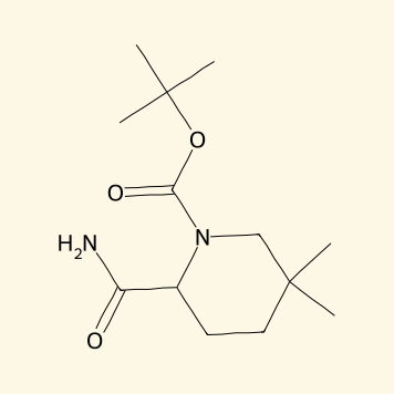 CC1(C)CCC(C(N)=O)N(C(=O)OC(C)(C)C)C1